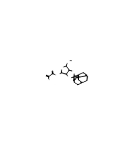 C=C(C)C(=O)OC1OC(OCC)C2SC3(SC12)C1CC2CC(C1)CC3C2